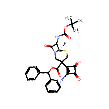 CC(C)(C)OC(=O)NC1C(=O)N2CC(C(=O)OC(c3ccccc3)c3ccccc3)(c3c(N)c(=O)c3=O)CS[C@H]12